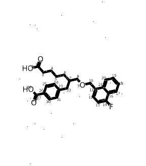 O=C(O)CCCCC(COCc1ccc(F)c2ccccc12)Cc1ccc(C(=O)O)cc1